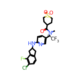 CN(C(=O)C1CCS(=O)(=O)CC1)[C@@H](c1ccc(NC2Cc3ccc(Cl)c(F)c3C2)nc1)C(F)(F)F